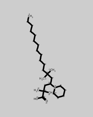 CCCCCCCCCCCCC(C)(C)CC(CC(C)(C)C(=O)O)N1CCCCC1